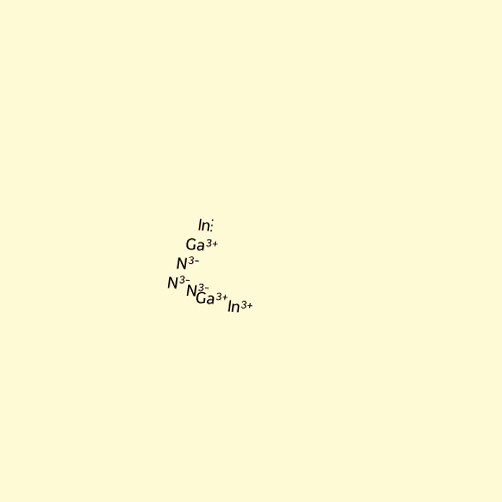 [Ga+3].[Ga+3].[In+3].[In].[N-3].[N-3].[N-3]